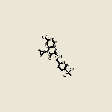 CS(=O)(=O)c1ccc(CNc2nc3cnc(Cl)nc3n(C3CC3)c2=O)nc1